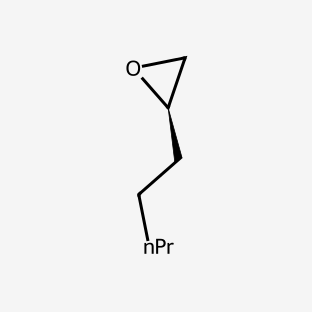 CCCCC[C@@H]1CO1